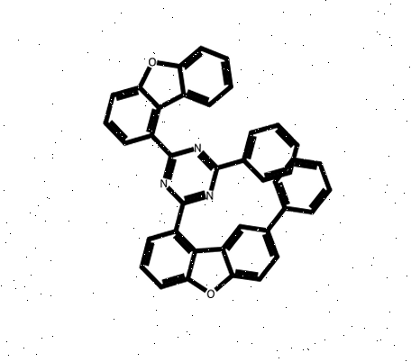 c1ccc(-c2ccc3oc4cccc(-c5nc(-c6ccccc6)nc(-c6cccc7oc8ccccc8c67)n5)c4c3c2)cc1